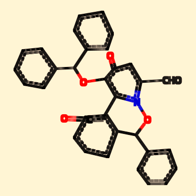 O=C=Cc1c(OC(c2ccccc2)c2ccccc2)c(=O)cc(C=O)n1OC(c1ccccc1)c1ccccc1